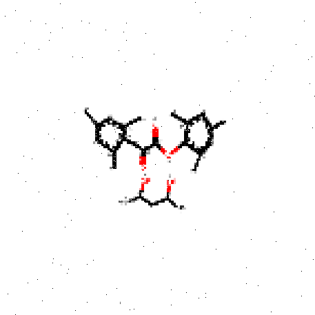 CCCC(O)CC(O)CCC.Cc1cc(C)c(OC(=O)C(=O)c2c(C)cc(C)cc2C)c(C)c1